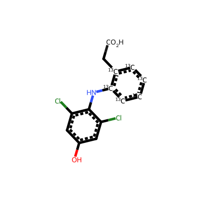 O=C(O)C[13c]1[13cH][13cH][13cH][13cH][13c]1Nc1c(Cl)cc(O)cc1Cl